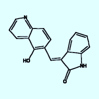 O=C1Nc2ccccc2/C1=C\c1ccc2ncccc2c1O